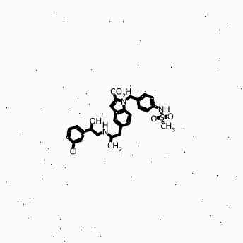 CC(Cc1ccc2c(c1)cc(C(=O)O)n2Cc1ccc(NS(C)(=O)=O)cc1)NCC(O)c1cccc(Cl)c1